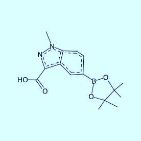 Cn1nc(C(=O)O)c2cc(B3OC(C)(C)C(C)(C)O3)ccc21